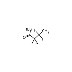 CC(C)(C)C(=O)C1(C(C)(F)F)CC1